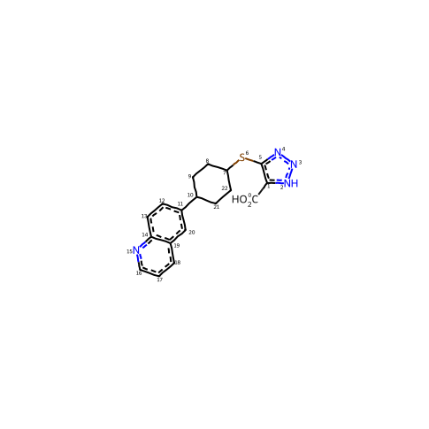 O=C(O)c1[nH]nnc1SC1CCC(c2ccc3ncccc3c2)CC1